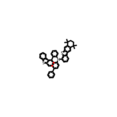 CC1(C)CCC(C)(C)c2cc3c(cc21)sc1c(N(c2ccc(-c4ccccc4)cc2)c2ccccc2-c2cccc4sc5ccccc5c24)cccc13